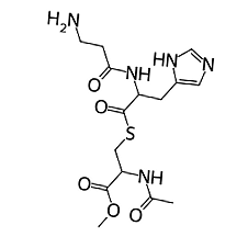 COC(=O)C(CSC(=O)C(Cc1cnc[nH]1)NC(=O)CCN)NC(C)=O